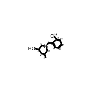 CC1CC(O)CN(Cc2ccccc2Cl)C1